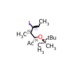 C/C=C(\I)[C@@H](C)[C@H](O[Si](C)(C)C(C)(C)C)C(C)=O